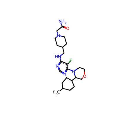 NC(=O)CN1CCC(CNc2ncnc(N3CCOCC3C3CCC(C(F)(F)F)CC3)c2F)CC1